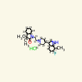 Cc1c(F)ccc2c(C3=CCN(CCN4C(=O)C(C)(C)c5ccccc54)CC3)c[nH]c12.Cl